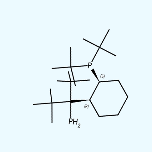 CC(C)(C)P([C@H]1CCCC[C@H]1C(P)(C(C)(C)C)C(C)(C)C)C(C)(C)C